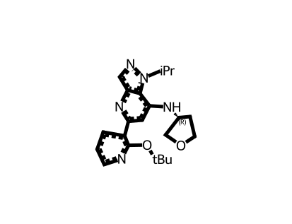 CC(C)n1ncc2nc(-c3cccnc3OC(C)(C)C)cc(N[C@@H]3CCOC3)c21